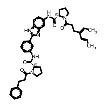 CC=CC(=CC)CCC(=O)N1CCC[C@H]1C(=O)Nc1ccc2[nH]c(-c3cccc(NC(=O)[C@@H]4CCCN4C(=O)CCc4ccccc4)c3)nc2c1